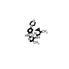 C=C(/C=C(\N)Nc1nc(Nc2ccc(N3CCOCC3)cc2)ncc1C)C1CC1